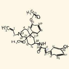 C=CCN1CCC2(c3cccc(OC(C)=O)c3)CC(NC(=O)/C=C/c3cccc(O)c3)CCC2(OC)C1